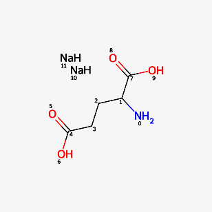 NC(CCC(=O)O)C(=O)O.[NaH].[NaH]